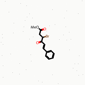 COC(=O)CC(Br)C(=O)C=Cc1ccccc1